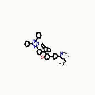 C=N/C(=C\C=C/C)c1ccc(-c2ccc3c(c2)C2(c4cc(-c5nc(-c6ccccc6)nc(-c6ccccc6)n5)ccc4O3)c3ccccc3-c3ccccc32)cc1